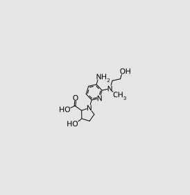 CN(CCO)c1nc(N2CCC(O)C2C(=O)O)ccc1N